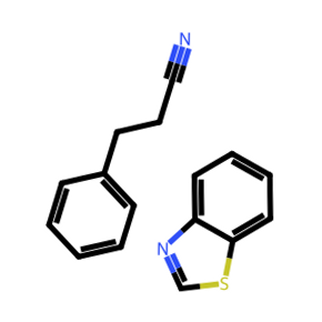 N#CCCc1ccccc1.c1ccc2scnc2c1